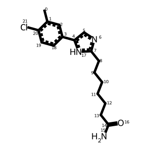 Cc1cc(-c2cnc(CCCCCCC(N)=O)[nH]2)ccc1Cl